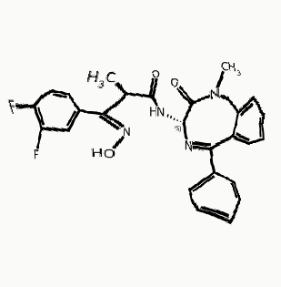 CC(C(=O)N[C@H]1N=C(c2ccccc2)c2ccccc2N(C)C1=O)C(=NO)c1ccc(F)c(F)c1